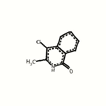 Cc1[nH]c(=O)c2ccccc2c1Cl